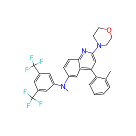 Cc1ccccc1-c1cc(N2CCOCC2)nc2ccc(N(C)c3cc(C(F)(F)F)cc(C(F)(F)F)c3)cc12